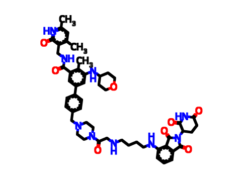 Cc1cc(C)c(CNC(=O)c2cc(-c3ccc(CN4CCN(C(=O)CNCCCCNc5cccc6c5C(=O)N(C5CCC(=O)NC5=O)C6=O)CC4)cc3)cc(NC3CCOCC3)c2C)c(=O)[nH]1